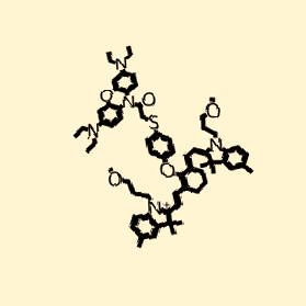 CCN(CC)c1ccc2c(c1)Oc1cc(N(CC)CC)ccc1N2C(=O)CSc1ccc(OC2=C(/C=C/C3=[N+](CCCOC)c4ccc(C)cc4C3(C)C)CCC/C2=C\C=C2\N(CCCOC)c3ccc(C)cc3C2(C)C)cc1